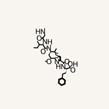 CCC(C)[C@H](NC(=O)CNC)C(=O)N(C)[C@H](CC(OC)c1nc(C(=O)N[C@@H](CCc2ccccc2)C(=O)O)cs1)C(C)C